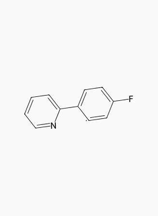 Fc1c[c]c(-c2ccccn2)cc1